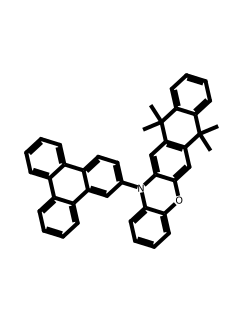 CC1(C)c2ccccc2C(C)(C)c2cc3c(cc21)Oc1ccccc1N3c1ccc2c3ccccc3c3ccccc3c2c1